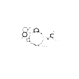 COc1nn(C)cc1C(=O)NS1(=O)=NC(=O)c2ccc3c(c2)N(C[C@@H]2CC[C@H]2[C@@H](OC)/C=C/[C@@](C)(OC)[C@H](C)C1)C[C@@]1(CCCc2cc(Cl)ccc21)CO3